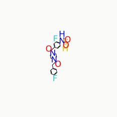 O=C(Cc1ccc(F)cc1)N1CCN(C(=O)c2ccc(N[SH](=O)=O)c(F)c2)CC1